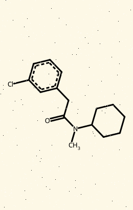 CN(C(=O)Cc1cccc(Cl)c1)C1CCCCC1